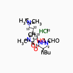 CCCC[C@H](CN(O)C=O)C(=O)N[C@@H](CCCCN(C)C)C(=O)N(C)C.Cl